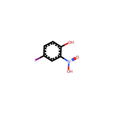 O=[N+](O)c1cc(I)ccc1O